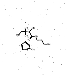 CC(C)(CO)C(O)C(=O)NCCCO.Oc1ccccc1